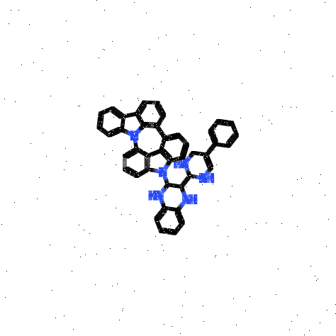 C1=C(c2ccccc2)CNC(C2Nc3ccccc3NC2n2c3cccc4c5cccc6c7ccccc7n(c7cccc2c7c43)c56)N1